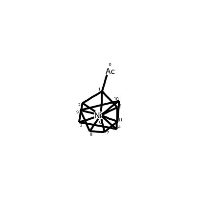 CC(=O)[C]12[CH]3[CH]4[CH]5[CH]1[Ni]45321678[CH]2[CH]1[CH]6[CH]7[CH]28